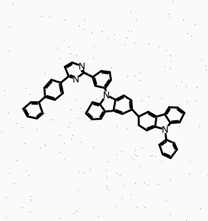 C1=c2c(n(-c3ccccc3)c3ccccc23)=CCC1c1ccc2c(c1)c1ccccc1n2-c1cccc(-c2nccc(-c3ccc(-c4ccccc4)cc3)n2)c1